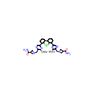 COc1nc(-c2cccc(-c3cccc(-c4cnc(CN5CC(C(N)=O)C5)c(OC)n4)c3Cl)c2Cl)cnc1CN1CC(C(N)=O)C1